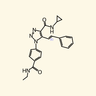 CCNC(=O)c1ccc(-n2nnc(C(=O)NC3CC3)c2/C=C/c2ccccc2)cc1